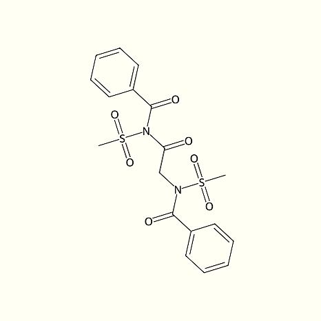 CS(=O)(=O)N(CC(=O)N(C(=O)c1ccccc1)S(C)(=O)=O)C(=O)c1ccccc1